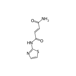 NC(=O)/C=C/C(=O)Nc1nccs1